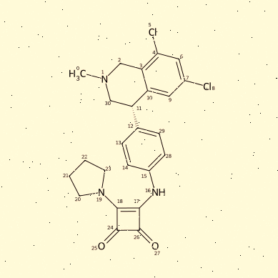 CN1Cc2c(Cl)cc(Cl)cc2[C@H](c2ccc(Nc3c(N4CCCC4)c(=O)c3=O)cc2)C1